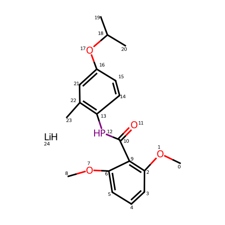 COc1cccc(OC)c1C(=O)Pc1ccc(OC(C)C)cc1C.[LiH]